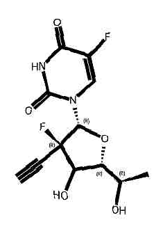 C#C[C@@]1(F)C(O)[C@@H]([C@@H](C)O)O[C@H]1n1cc(F)c(=O)[nH]c1=O